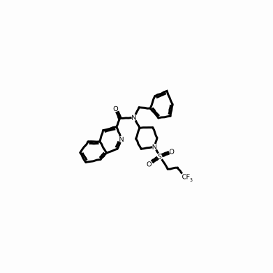 O=C(c1cc2ccccc2cn1)N(Cc1ccccc1)C1CCN(S(=O)(=O)CCC(F)(F)F)CC1